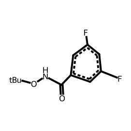 CC(C)(C)ONC(=O)c1cc(F)cc(F)c1